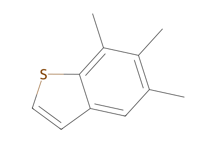 Cc1cc2ccsc2c(C)c1C